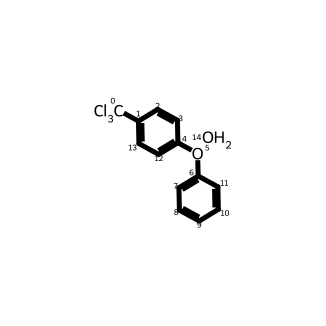 ClC(Cl)(Cl)c1ccc(Oc2ccccc2)cc1.O